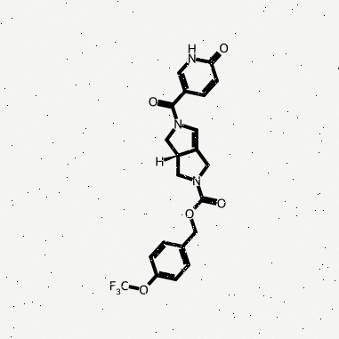 O=C(c1ccc(=O)[nH]c1)N1C=C2CN(C(=O)OCc3ccc(OC(F)(F)F)cc3)C[C@@H]2C1